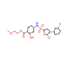 COCCOC(=O)c1ccc(NS(=O)(=O)c2cc(-c3cccc(F)c3)c(Cl)s2)cc1O